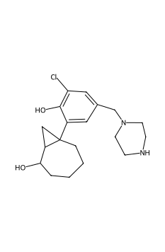 Oc1c(Cl)cc(CN2CCNCC2)cc1C12CCCCC(O)C1C2